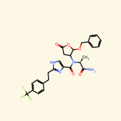 C[C@@H](C(N)=O)N(C(=O)c1c[nH]c(CCc2ccc(C(F)(F)F)cc2)n1)C1CC(=O)OC1OCc1ccccc1